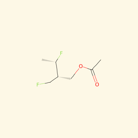 CC(=O)OC[C@H](CF)[C@H](C)F